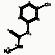 CNC(=O)Oc1cccc(Cl)c1